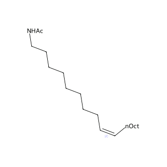 CCCCCCCC/C=C\CCCCCCCCNC(C)=O